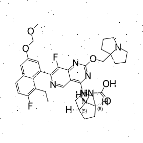 CCc1c(F)ccc2cc(OCOC)cc(-c3ncc4c(N5C[C@H]6CC[C@@H](C5)[C@@H]6NC(=O)O)nc(OCC56CCCN5CCC6)nc4c3F)c12